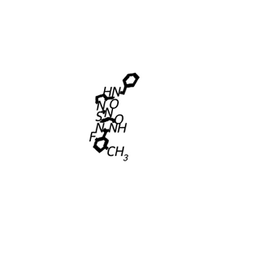 Cc1ccc(F)c(-c2nc3sc(N4CCCC4C(=O)NCc4ccccc4)nc3c(=O)[nH]2)c1